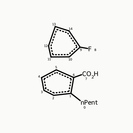 CCCCCc1ccccc1C(=O)O.Fc1ccccc1